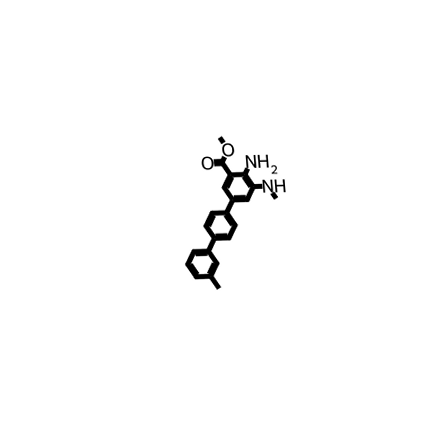 CNc1cc(-c2ccc(-c3cccc(C)c3)cc2)cc(C(=O)OC)c1N